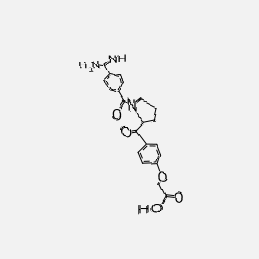 N=C(N)c1ccc(C(=O)N2CCCC2C(=O)c2ccc(OCC(=O)O)cc2)cc1